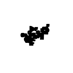 CN(CC(=O)Nc1ncc(F)cn1)/N=C(/O[C@H]1CC1F)c1cc(Br)ccc1C=O